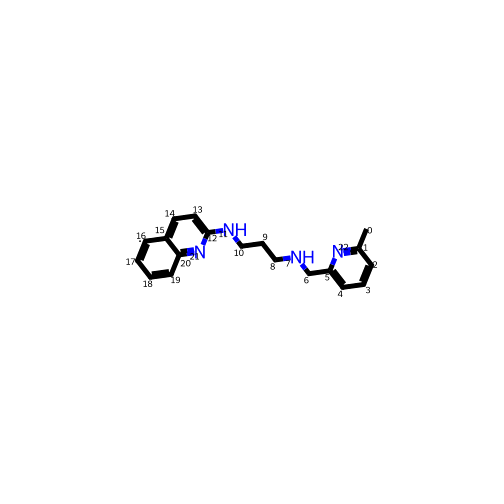 Cc1cccc(CNCCCNc2ccc3[c]cccc3n2)n1